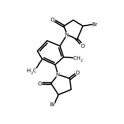 [CH2]c1ccc(N2C(=O)CC(Br)C2=O)c([CH2])c1N1C(=O)CC(Br)C1=O